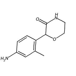 Cc1cc(N)ccc1C1OCCNC1=O